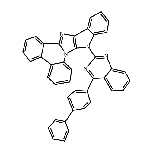 c1ccc(-c2ccc(-c3nc(-n4c5ccccc5c5nc6c7ccccc7c7ccccc7n6c54)nc4ccccc34)cc2)cc1